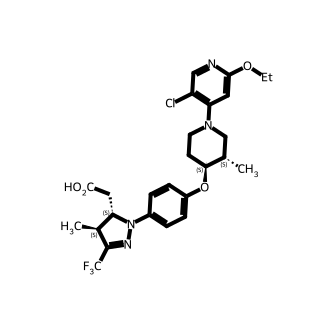 CCOc1cc(N2CC[C@H](Oc3ccc(N4N=C(C(F)(F)F)[C@@H](C)[C@@H]4CC(=O)O)cc3)[C@@H](C)C2)c(Cl)cn1